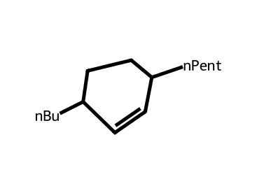 CCCCCC1C=CC(CCCC)CC1